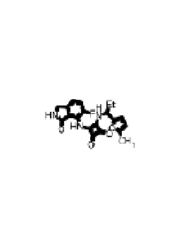 CCC(Nc1c(Nc2c(F)ccc3c2C(=O)NC3)c(=O)c1=O)c1ccc(C)o1